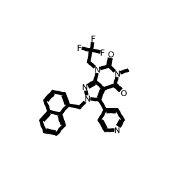 Cn1c(=O)c2c(-c3ccncc3)n(Cc3cccc4ccccc34)nc2n(CC(F)(F)F)c1=O